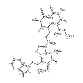 CC[C@H](C)[C@@H]([C@@H](CC(=O)N1CCC[C@H]1[C@H](OC)[C@@H](C)C(=O)N[C@@H](Cc1c[nH]c2ccccc12)C(=O)O)OC)N(C)[C@H](C(=O)NC(=O)[C@H](C(C)C)N(C)CCCC(=O)O)C(C)C